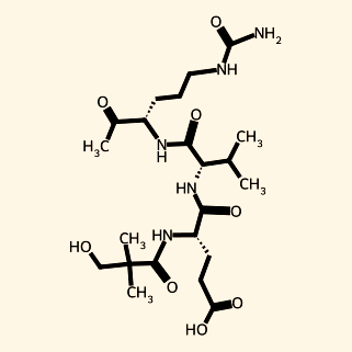 CC(=O)[C@H](CCCNC(N)=O)NC(=O)[C@@H](NC(=O)[C@H](CCC(=O)O)NC(=O)C(C)(C)CO)C(C)C